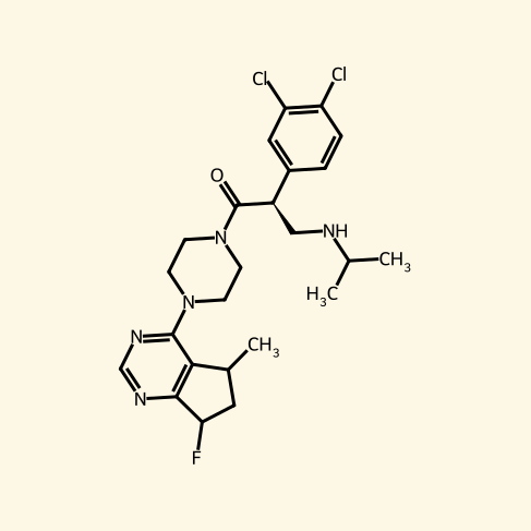 CC(C)NC[C@@H](C(=O)N1CCN(c2ncnc3c2C(C)CC3F)CC1)c1ccc(Cl)c(Cl)c1